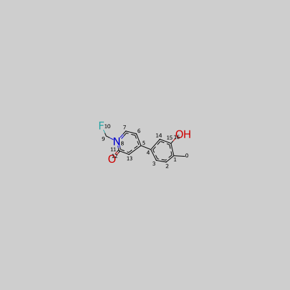 Cc1ccc(-c2ccn(CF)c(=O)c2)cc1O